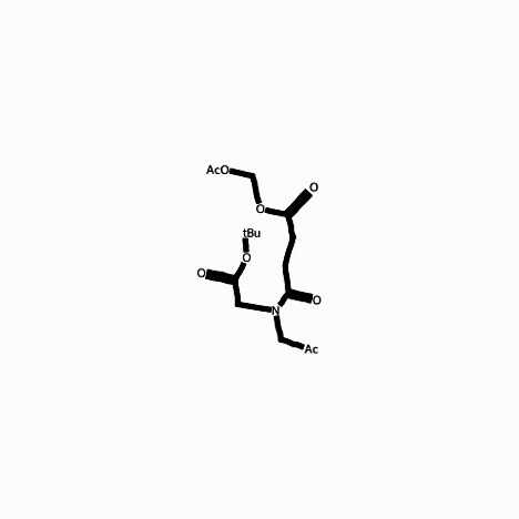 CC(=O)CN(CC(=O)OC(C)(C)C)C(=O)CCC(=O)OCOC(C)=O